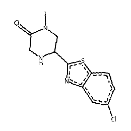 CN1CC(c2nc3cc(Cl)ccc3s2)NCC1=O